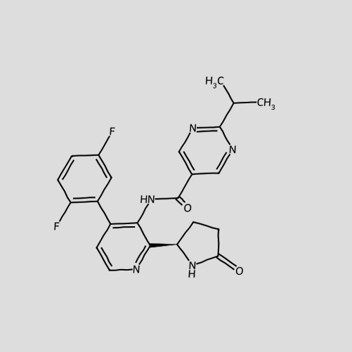 CC(C)c1ncc(C(=O)Nc2c(-c3cc(F)ccc3F)ccnc2[C@H]2CCC(=O)N2)cn1